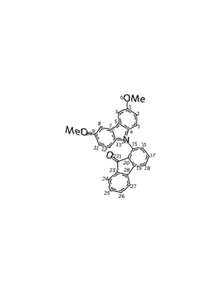 COc1ccc2c(c1)c1cc(OC)ccc1n2-c1cccc2c1C(=O)c1ccccc1-2